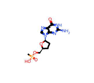 CP(=O)(O)OC[C@@H]1CC[C@H](n2cnc3c(=O)[nH]c(N)nc32)O1